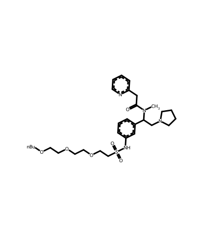 CCCCOCCOCCOCCS(=O)(=O)Nc1cccc(C(CN2CCCC2)N(C)C(=O)Cc2ccccn2)c1